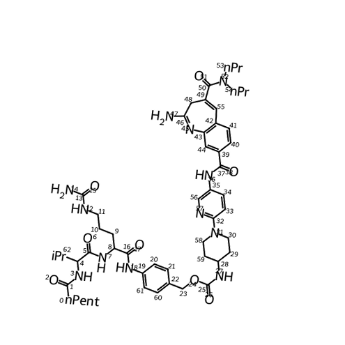 CCCCCC(=O)NC(C(=O)NC(CCCNC(N)=O)C(=O)Nc1ccc(COC(=O)NC2CCN(c3ccc(NC(=O)c4ccc5c(c4)N=C(N)CC(C(=O)N(CCC)CCC)=C5)cn3)CC2)cc1)C(C)C